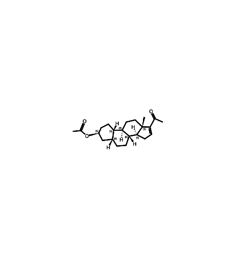 CC(=O)O[C@H]1CC[C@H]2[C@H](CC[C@@H]3[C@@H]2CC[C@]2(C)C(C(C)=O)=CC[C@@H]32)C1